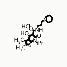 Cc1sc2c(c1C)c(O)c(C(=O)NCCCN1CCCCC1)c(=O)n2C(C)C.Cl